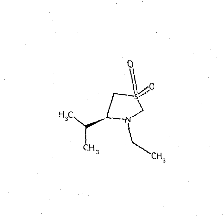 CCN1CS(=O)(=O)C[C@@H]1C(C)C